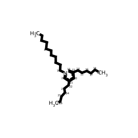 CCCCCCCCCCC[n+]1cc(CCCCCC)cc(CCCCCC)c1